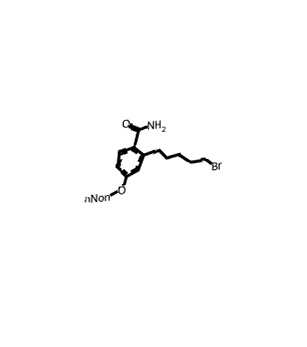 CCCCCCCCCOc1ccc(C(N)=O)c(CCCCCBr)c1